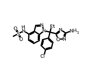 CCC(c1ccc(Cl)cc1)(c1nc(N)no1)n1ncc2c(NS(C)(=O)=O)cccc21